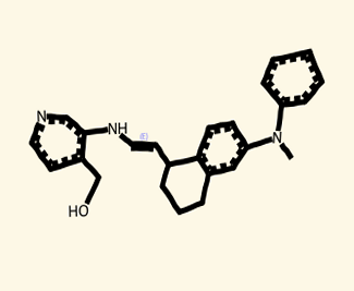 CN(c1ccccc1)c1ccc2c(c1)CCCC2/C=C/Nc1cnccc1CO